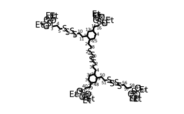 CCO[Si](CCCSSSSCCC1CC(CC[Si](OCC)(OCC)OCC)CCC1CCSSSSCCC1CCC(CC[Si](OCC)(OCC)OCC)CC1CCSSSSCCC[Si](OCC)(OCC)OCC)(OCC)OCC